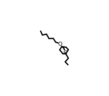 CCCCCCOC12CCC(CCC)(CC1)CC2